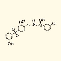 Cl.O=S(=O)(c1ccc(CCNC[C@@H](O)c2cccc(Cl)c2)cc1)c1cccc(O)c1